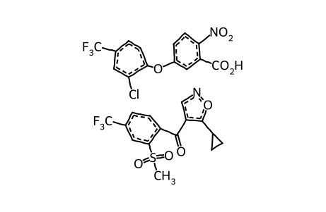 CS(=O)(=O)c1cc(C(F)(F)F)ccc1C(=O)c1cnoc1C1CC1.O=C(O)c1cc(Oc2ccc(C(F)(F)F)cc2Cl)ccc1[N+](=O)[O-]